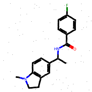 CC(NC(=O)c1ccc(F)cc1)c1ccc2c(c1)CCN2C